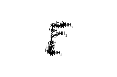 COC(=O)[C@H](CCC(=O)NCCCCCN(CCCCCNC(=O)CC[C@@H](NC(=O)c1ccc(N(C)Cc2cnc3nc(N)nc(N)c3n2)cc1)C(=O)OC)CCOCCOCCN)NC(=O)c1ccc(N(C)Cc2cnc3nc(N)nc(N)c3n2)cc1